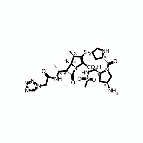 C[C@@H](NC(=O)Cn1cnnn1)[C@H]1C(=O)N2C(C(=O)O)=C(S[C@@H]3CN[C@H](C(=O)N4C[C@@H](N)C[C@H]4CNS(C)(=O)=O)C3)[C@H](C)[C@H]12